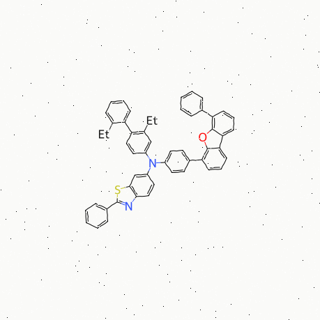 CCc1ccccc1-c1ccc(N(c2ccc(-c3cccc4c3oc3c(-c5ccccc5)cccc34)cc2)c2ccc3nc(-c4ccccc4)sc3c2)cc1CC